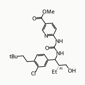 CC[C@@H](CO)C(NC(=O)Nc1ccc(C(=O)OC)cn1)c1ccc(CCC(C)(C)C)c(Cl)c1